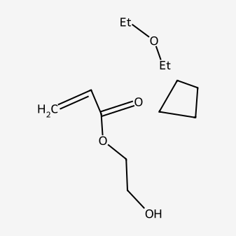 C1CCC1.C=CC(=O)OCCO.CCOCC